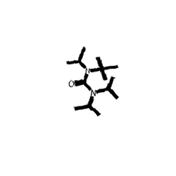 CC(C)N(C(=O)N(C(C)C)C(C)(C)C)C(C)C